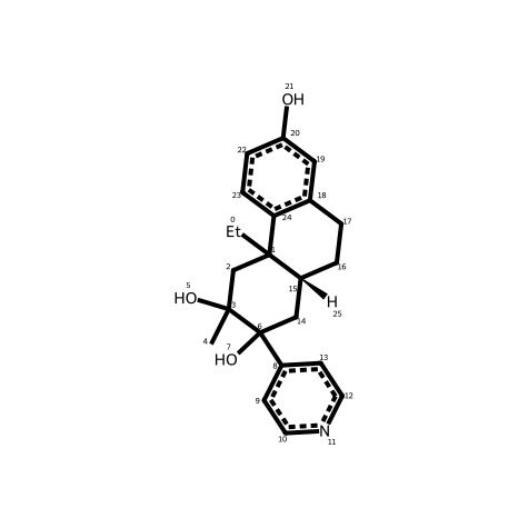 CCC12CC(C)(O)C(O)(c3ccncc3)C[C@H]1CCc1cc(O)ccc12